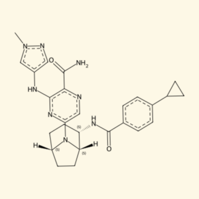 Cn1cc(Nc2nc(N3[C@H]4CC[C@H](NC(=O)c5ccc(C6CC6)cc5)[C@@H]3CC4)cnc2C(N)=O)cn1